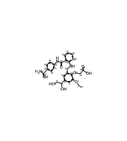 CCOc1cc(C(O)CO)cc(CNc2ncccc2C(=O)Nc2ccc(C(=N)N)cc2)c1OCC(=O)O